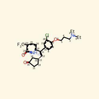 CCN(CC)CCCOc1ccc(/C(=C/[C@H]2CCC(=O)C2)c2ccc(C(F)(F)F)c(=O)[nH]2)cc1Cl